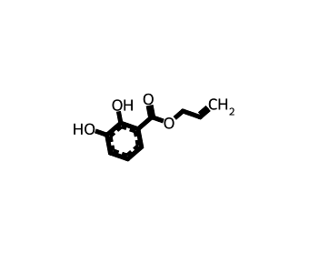 C=CCOC(=O)c1cccc(O)c1O